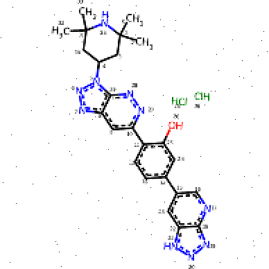 CC1(C)CC(n2nnc3cc(-c4ccc(-c5cnc6nn[nH]c6c5)cc4O)nnc32)CC(C)(C)N1.Cl.Cl